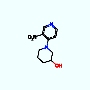 O=[N+]([O-])c1cnccc1N1CCCC(O)C1